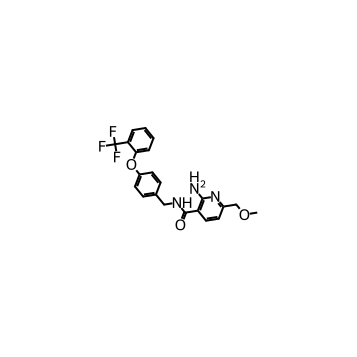 COCc1ccc(C(=O)NCc2ccc(Oc3ccccc3C(F)(F)F)cc2)c(N)n1